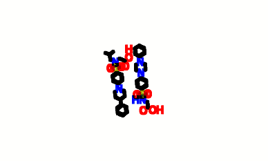 CC(C)CN(CC(=O)O)S(=O)(=O)c1ccc(N2CCC(c3ccccc3)CC2)cc1.O=C(O)CNS(=O)(=O)c1ccc(N2CCN(c3ccccc3)CC2)cc1